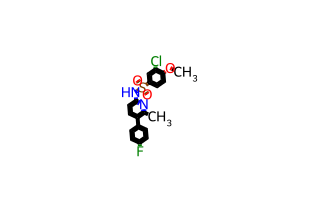 COc1ccc(S(=O)(=O)Nc2ccc(-c3ccc(F)cc3)c(C)n2)cc1Cl